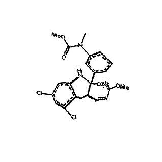 CCOC(=O)C1(c2cccc(N(C)C(=O)OC)c2)Nc2cc(Cl)cc(Cl)c2C1/C=C\C(=O)OC